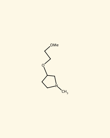 COCCOC1CCN(C)C1